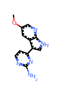 COc1cnc2[nH]cc(-c3ccnc(N)n3)c2c1